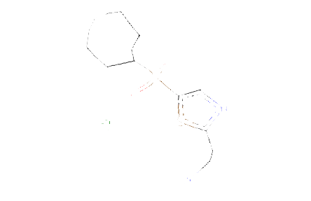 Cl.NCc1ncc(S(=O)(=O)C2CCCCC2)s1